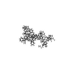 CCCN(C(=O)[C@H](CCCNC(=N)N)NC(=O)[C@H](CC(C)C)NC(=O)[C@@H](Cc1c[nH]c2ccccc12)NC(=O)[C@H](Cc1ccc(O)cc1)NC(=O)[C@H](CO)NC(=O)[C@H](Cc1c[nH]c2ccccc12)NC(=O)[C@@H](N)Cc1c[nH]cn1)C(=O)[C@@H]1CCC(=O)N1CC